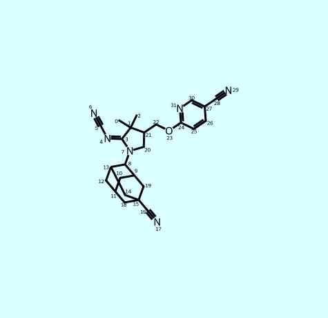 CC1(C)C(=NC#N)N(C2C3CC4CC2CC(C#N)(C4)C3)CC1COc1ccc(C#N)cn1